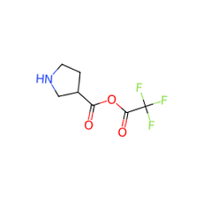 O=C(OC(=O)C(F)(F)F)C1CCNC1